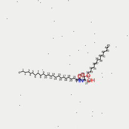 CCCCCCCCCCCCCCCCCCCCCCCC(=O)N[C@@H](CO)C(=O)OCCCCCCCCCCCCCC